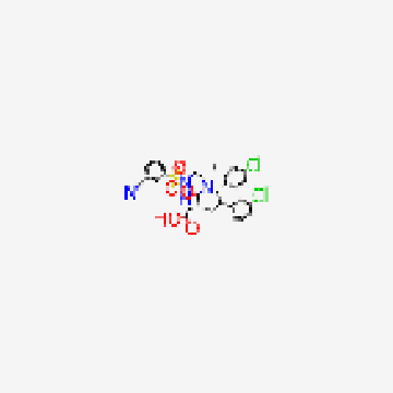 CC[C@@H](CNS(=O)(=O)c1cccc(C#N)c1)N1C(=O)[C@](C)(CC(=O)O)C[C@H](c2cccc(Cl)c2)[C@H]1c1ccc(Cl)cc1